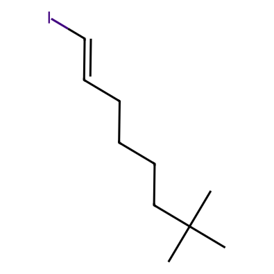 CC(C)(C)CCCCC=CI